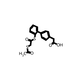 CC(=O)SCC(=O)Sc1ccccc1-c1ccc(CC(=O)O)cc1